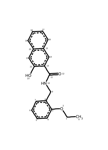 CCOc1ccccc1CNC(=O)c1cc2ccccc2cc1O